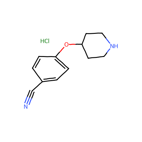 Cl.N#Cc1ccc(OC2CCNCC2)cc1